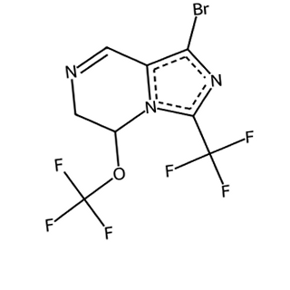 FC(F)(F)OC1CN=Cc2c(Br)nc(C(F)(F)F)n21